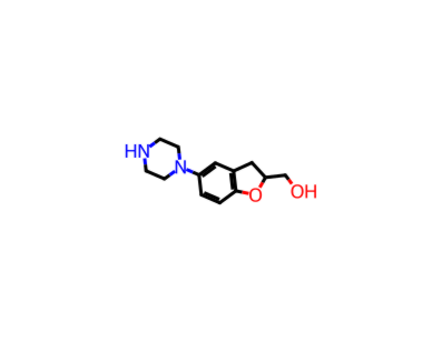 OCC1Cc2cc(N3CCNCC3)ccc2O1